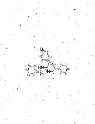 O=C(Nc1ncc(-c2ccccc2)nc1-c1ccc(O)cc1)c1ccccc1